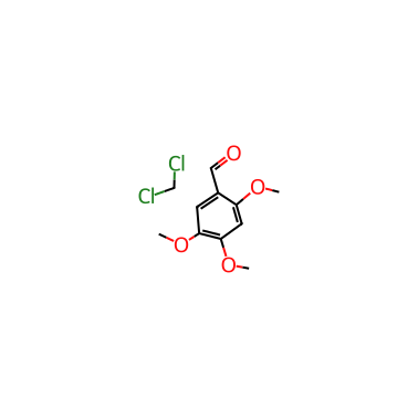 COc1cc(OC)c(OC)cc1C=O.ClCCl